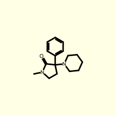 CN1CCC(c2ccccc2)(N2CCCCC2)C1=O